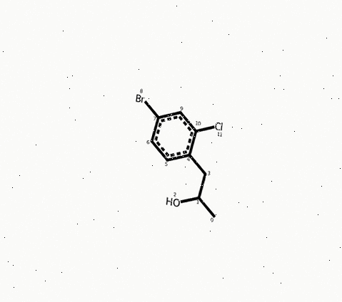 CC(O)Cc1ccc(Br)cc1Cl